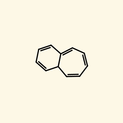 C1=CC=C2C=CC=CC2C=C1